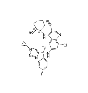 [2H]C(Nc1cc(Cl)c2ncc(C#N)c(N[C@H]3CCCC[C@@H]3O)c2c1)(c1ccc(F)cc1)c1cn(C2CC2)nn1